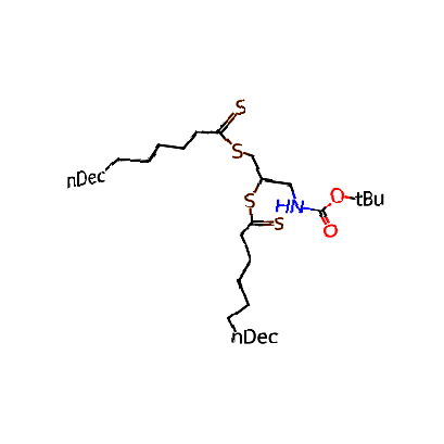 CCCCCCCCCCCCCCCC(=S)SCC(CNC(=O)OC(C)(C)C)SC(=S)CCCCCCCCCCCCCCC